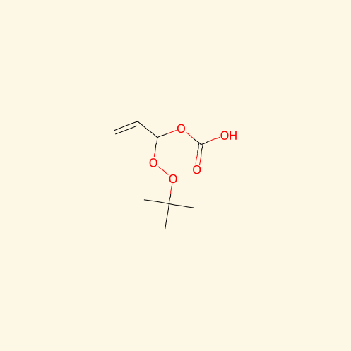 C=CC(OOC(C)(C)C)OC(=O)O